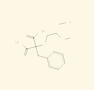 CO[C@@H](CO)COC(Cc1ccccc1)(C(=O)O)C(=O)O